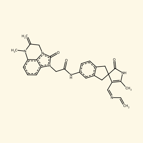 C=C/N=C\C1=C(C)NC(=O)C12Cc1ccc(NC(=O)Cn3c(=O)n4c5c(cccc53)N(C)C(=C)C4)cc1C2